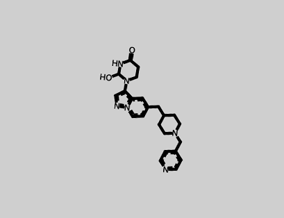 O=C1CCN(c2cnn3ccc(CC4CCN(Cc5ccncc5)CC4)cc23)C(O)N1